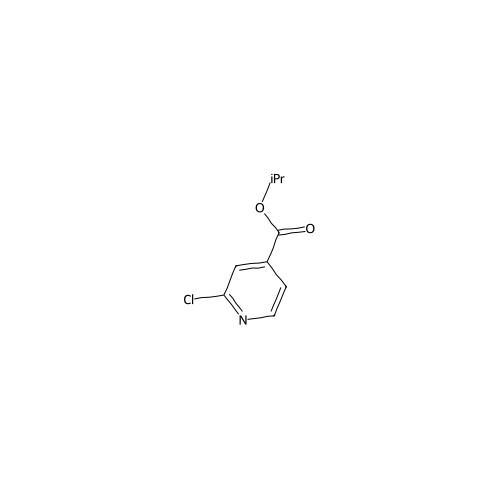 CC(C)OC(=O)c1ccnc(Cl)c1